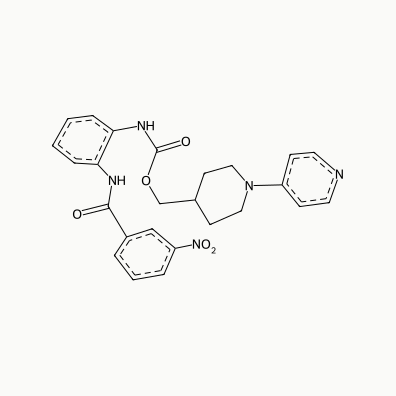 O=C(Nc1ccccc1NC(=O)c1cccc([N+](=O)[O-])c1)OCC1CCN(c2ccncc2)CC1